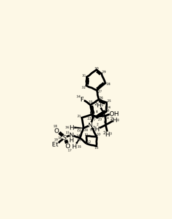 [2H]C([2H])([2H])[C@@]([2H])(O)C(=O)N1C2CC(C2)[C@H](NS(=O)(=O)CC)[C@@H]1Cc1cccc(-c2ccccc2)c1F